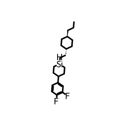 CCC[C@H]1CC[C@H](CC[SiH]2CCC(c3ccc(F)c(F)c3)CC2)CC1